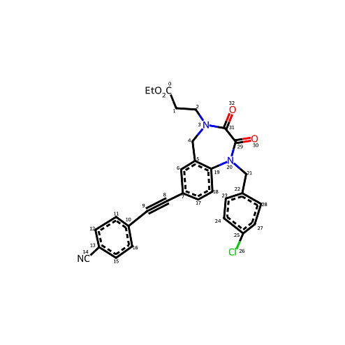 CCOC(=O)CCN1Cc2cc(C#Cc3ccc(C#N)cc3)ccc2N(Cc2ccc(Cl)cc2)C(=O)C1=O